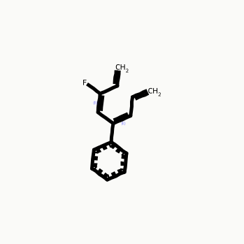 C=C/C=C(\C=C(\F)C=C)c1ccccc1